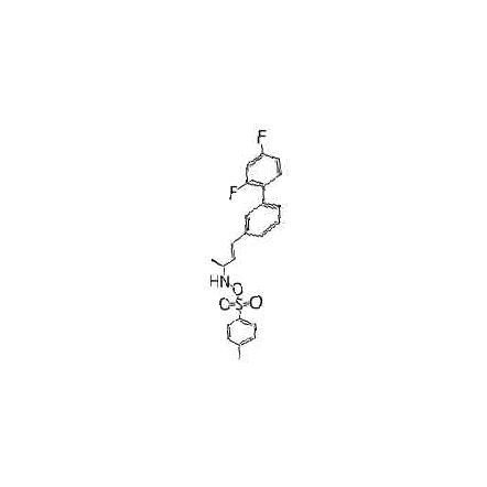 Cc1ccc(S(=O)(=O)ON[C@@H](C)/C=C/c2cccc(-c3ccc(F)cc3F)c2)cc1